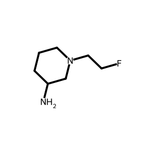 NC1CCCN(CCF)C1